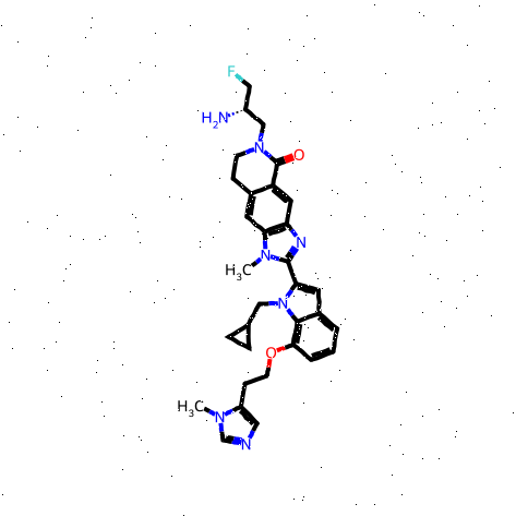 Cn1cncc1CCOc1cccc2cc(-c3nc4cc5c(cc4n3C)CCN(C[C@H](N)CF)C5=O)n(CC3CC3)c12